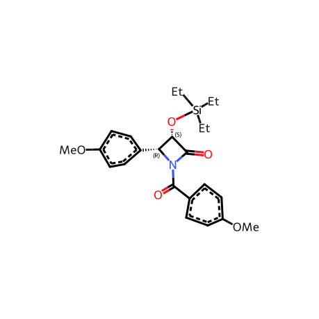 CC[Si](CC)(CC)O[C@@H]1C(=O)N(C(=O)c2ccc(OC)cc2)[C@@H]1c1ccc(OC)cc1